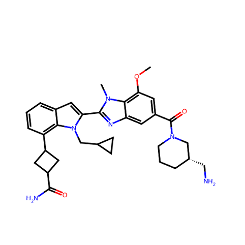 COc1cc(C(=O)N2CCC[C@@H](CN)C2)cc2nc(-c3cc4cccc(C5CC(C(N)=O)C5)c4n3CC3CC3)n(C)c12